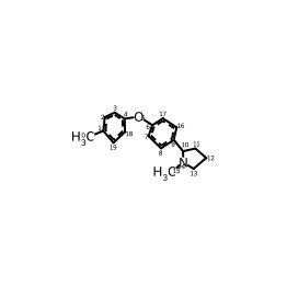 Cc1ccc(Oc2ccc(C3CCCN3C)cc2)cc1